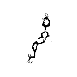 CC1CN(c2ccc(Cl)nc2)C[C@H](C)N1Cc1cccc(CC(=O)O)c1